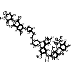 COc1cc(N2CCN(CCC3=CN(c4cc5c(cc4F)C(=O)N(C4CCC(=O)NC4=O)C5=O)CC3)CC2)c(-c2cnn(C)c2)cc1Nc1ncc(Br)c(Nc2ccc(C)c(C)c2P(=O)(OC)OC)n1